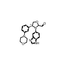 O=CC1OC[C@H](c2cccc(N3CCOCC3)c2)N1c1ccc2[nH]cnc2c1